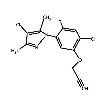 C#CCOc1cc(-n2nc(C)c(Cl)c2C)c(F)cc1Cl